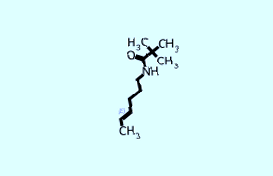 C/C=C/CCCNC(=O)C(C)(C)C